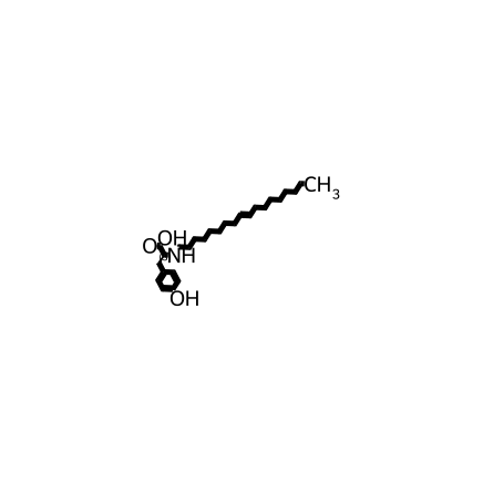 CCCCCCCCC=CCCCCCCCCN[C@@H](Cc1ccc(O)cc1)C(=O)O